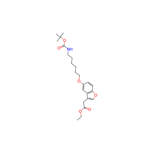 CCOC(=O)Cc1coc2ccc(OCCCCCCNC(=O)OC(C)(C)C)cc12